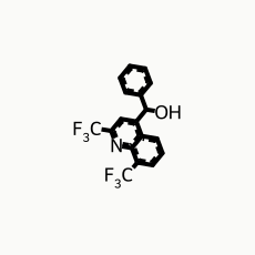 OC(c1ccccc1)c1cc(C(F)(F)F)nc2c(C(F)(F)F)cccc12